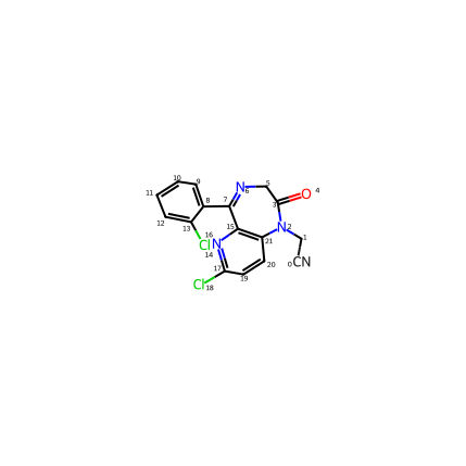 N#CCN1C(=O)CN=C(c2ccccc2Cl)c2nc(Cl)ccc21